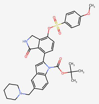 COc1ccc(S(=O)(=O)Oc2ccc(-c3cc4cc(CN5CCCCC5)ccc4n3C(=O)OC(C)(C)C)c3c2CNC3=O)cc1